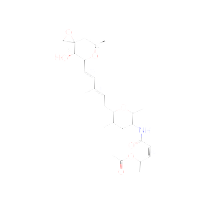 CC(=O)OC(C)/C=C\C(=O)NC1CC(C)C(C/C=C(C)/C=C/C2O[C@H](C)CC3(CO3)[C@@H]2O)OC1C